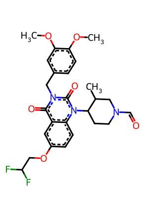 COc1ccc(Cn2c(=O)c3cc(OCC(F)F)ccc3n(C3CCN(C=O)CC3C)c2=O)cc1OC